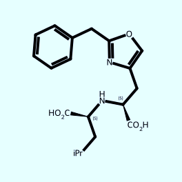 CC(C)C[C@H](N[C@@H](Cc1coc(Cc2ccccc2)n1)C(=O)O)C(=O)O